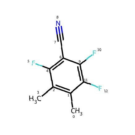 Cc1c(C)c(F)c(C#N)c(F)c1F